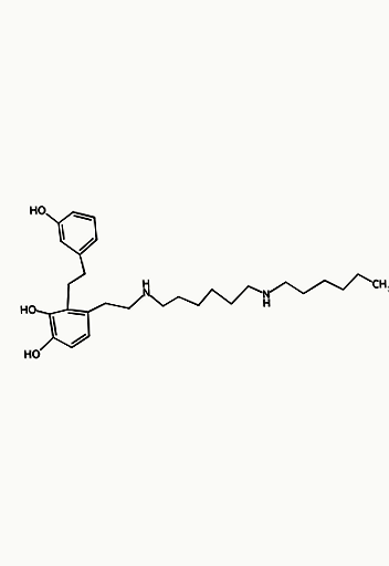 CCCCCCNCCCCCCNCCc1ccc(O)c(O)c1CCc1cccc(O)c1